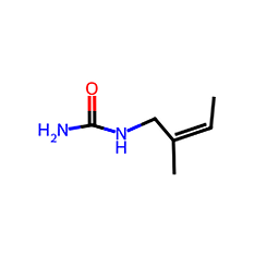 CC=C(C)CNC(N)=O